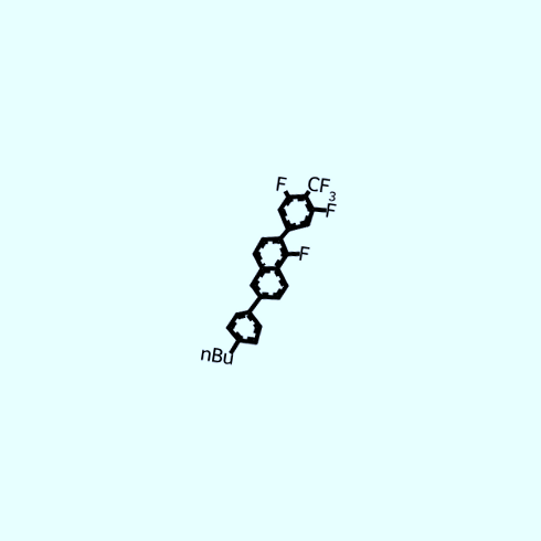 CCCCc1ccc(-c2ccc3c(F)c(-c4cc(F)c(C(F)(F)F)c(F)c4)ccc3c2)cc1